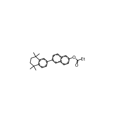 CCC(=O)Oc1ccc2cc(-c3ccc4c(c3)C(C)(C)CCC4(C)C)ccc2c1